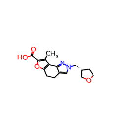 Cc1c(C(=O)O)oc2c1-c1nn(C[C@@H]3CCOC3)cc1CC2